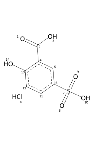 Cl.O=C(O)c1cc(S(=O)(=O)O)ccc1O